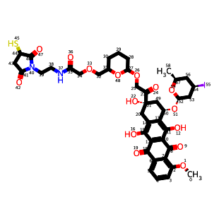 COc1cccc2c1C(=O)c1c(O)c3c(c(O)c1C2=O)C[C@@](O)(C(=O)COC1CCCC(COCC(=O)NCCN2C(=O)CC(S)C2=O)O1)C[C@@H]3O[C@H]1C[C@H](I)C[C@H](C)O1